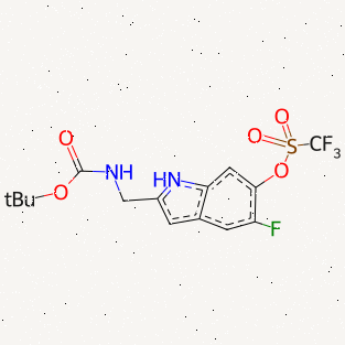 CC(C)(C)OC(=O)NCc1cc2cc(F)c(OS(=O)(=O)C(F)(F)F)cc2[nH]1